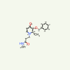 CCCNC(=O)CCn1ccc(=O)c(OCc2ccccc2)c1C